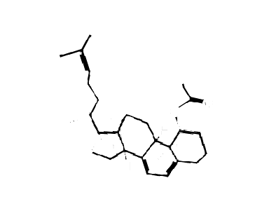 CC(=O)O[C@H]1CCCC2=CC=C3[C@@H]4CC[C@H]([C@H](C)CCC=C(C)C)[C@@]4(C)CC[C@@H]3[C@]21C